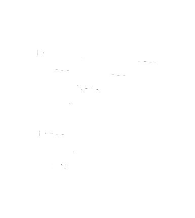 [CH2]C(C(C)O)N(CCC(O)CN)C(C)CCCC